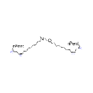 CCCCC/C=C\C/C=C\CCCCCCCCOCCN(C)CCCCCCCC/C=C\C/C=C\CCCCC